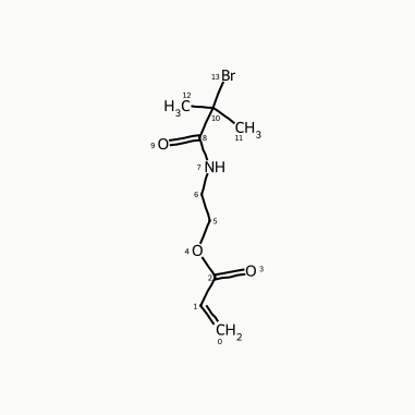 C=CC(=O)OCCNC(=O)C(C)(C)Br